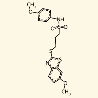 COc1ccc(NS(=O)(=O)CCCSc2nc3ccc(OC)cc3s2)cc1